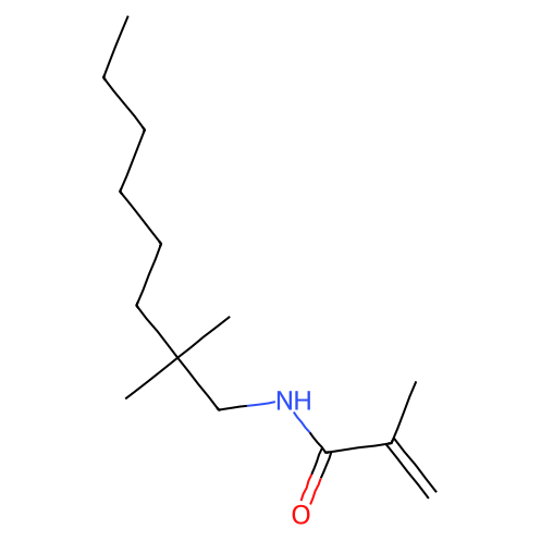 C=C(C)C(=O)NCC(C)(C)CCCCCC